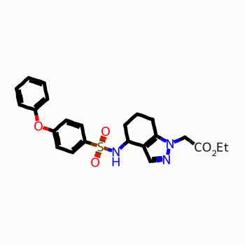 CCOC(=O)Cn1ncc2c1CCCC2NS(=O)(=O)c1ccc(Oc2ccccc2)cc1